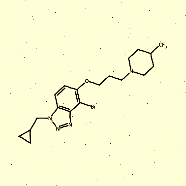 FC(F)(F)C1CCN(CCCOc2ccc3c(nnn3CC3CC3)c2Br)CC1